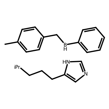 CC(C)CCCc1cnc[nH]1.Cc1ccc(CBc2ccccc2)cc1